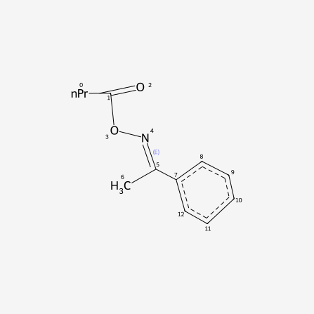 CCCC(=O)O/N=C(\C)c1ccccc1